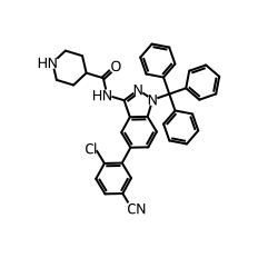 N#Cc1ccc(Cl)c(-c2ccc3c(c2)c(NC(=O)C2CCNCC2)nn3C(c2ccccc2)(c2ccccc2)c2ccccc2)c1